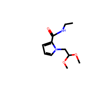 CCNC(=O)c1cccn1CC(OC)OC